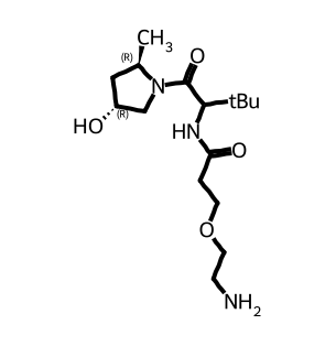 C[C@@H]1C[C@@H](O)CN1C(=O)C(NC(=O)CCOCCN)C(C)(C)C